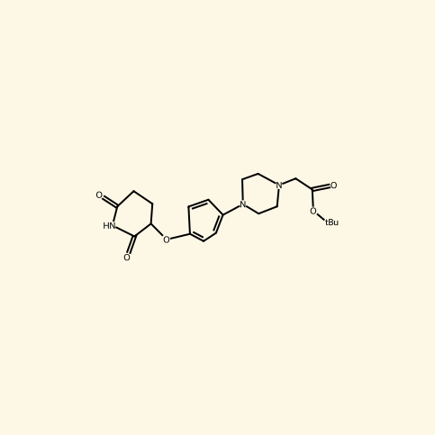 CC(C)(C)OC(=O)CN1CCN(c2ccc(OC3CCC(=O)NC3=O)cc2)CC1